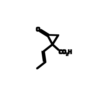 CC=CC1(C(=O)O)CC1=O